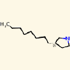 CCCCCCCC[C@H]1CCNC1